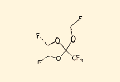 FCOC(OCF)(OCF)C(F)(F)F